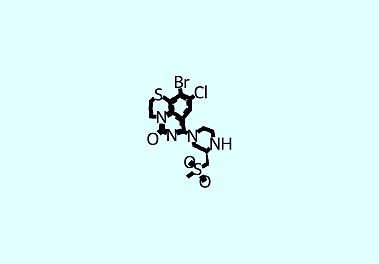 CS(=O)(=O)C[C@H]1CN(c2nc(=O)n3c4c(c(Br)c(Cl)cc24)SCC3)CCN1